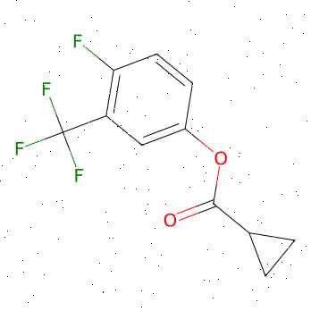 O=C(Oc1ccc(F)c(C(F)(F)F)c1)C1CC1